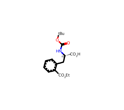 CCOC(=O)c1ccccc1C[C@H](NC(=O)OC(C)(C)C)C(=O)O